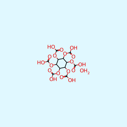 O.O=C(O)OC1C(OC(=O)O)C(OC(=O)O)C(OC(=O)O)C(OC(=O)O)C1OC(=O)O